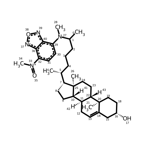 CC(CCC[C@@H](C)[C@H]1CC[C@H]2[C@@H]3CC=C4C[C@@H](O)CC[C@]4(C)[C@H]3CC[C@]12C)N(C)c1ccc([N+](C)=O)c2nonc12